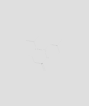 C=C(CCl)[CH2][Al]([O]C(C)C)[O]C(C)C